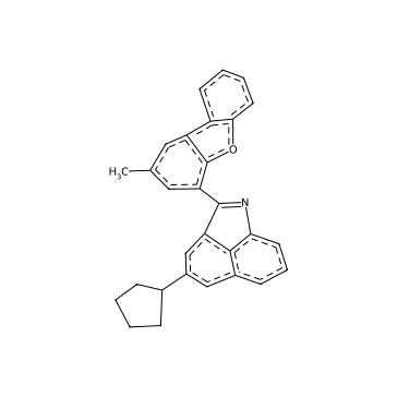 Cc1cc(C2=Nc3cccc4cc(C5CCCC5)cc2c34)c2oc3ccccc3c2c1